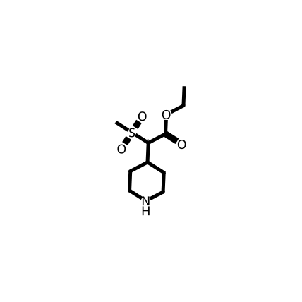 CCOC(=O)[C](C1CCNCC1)S(C)(=O)=O